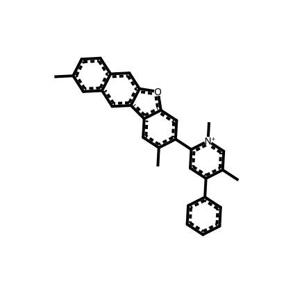 Cc1ccc2cc3oc4cc(-c5cc(-c6ccccc6)c(C)c[n+]5C)c(C)cc4c3cc2c1